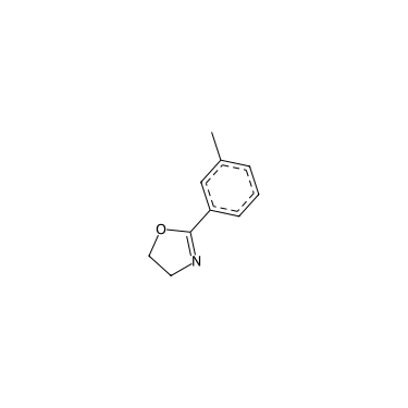 Cc1cccc(C2=NCCO2)c1